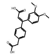 COc1ccc(/C(=C\C(=O)O)c2ccc(CC(=O)O)cc2)cc1OC